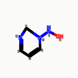 ONN1C=CC=NC1